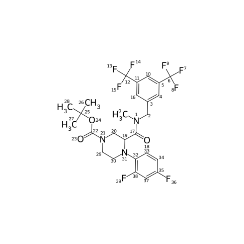 CN(Cc1cc(C(F)(F)F)cc(C(F)(F)F)c1)C(=O)C1CN(C(=O)OC(C)(C)C)CCN1c1ccc(F)cc1F